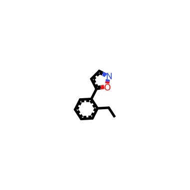 CCc1ccccc1-c1ccno1